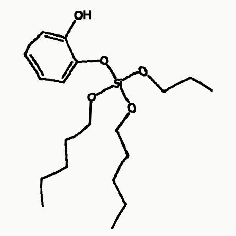 CCCCCO[Si](OCCC)(OCCCCC)Oc1ccccc1O